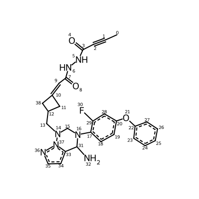 CC#CC(=O)NNC(=O)C=C1CC(CN2CN(c3ccc(Oc4ccccc4)cc3F)C(N)c3ccnn32)C1